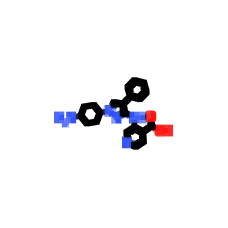 N[C@H]1CC[C@@H](n2cc(-c3ccccc3)c(Nc3cnccc3C(=O)O)n2)CC1